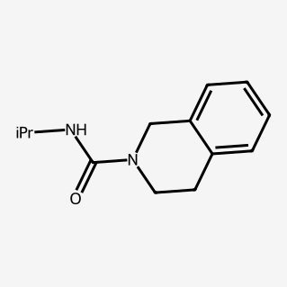 CC(C)NC(=O)N1CCc2ccccc2C1